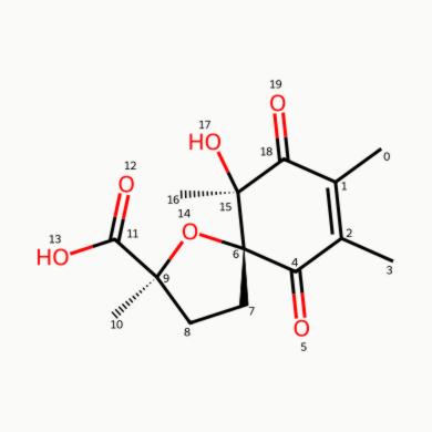 CC1=C(C)C(=O)[C@@]2(CC[C@@](C)(C(=O)O)O2)[C@@](C)(O)C1=O